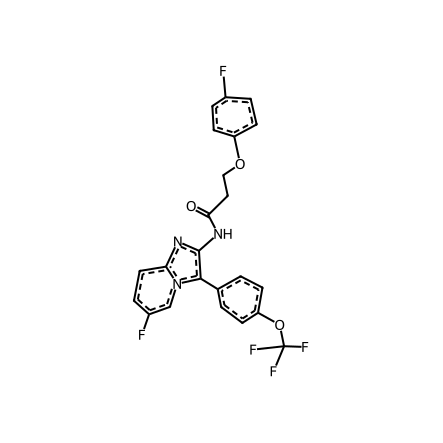 O=C(CCOc1ccc(F)cc1)Nc1nc2ccc(F)cn2c1-c1ccc(OC(F)(F)F)cc1